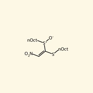 CCCCCCCCSC(=C[N+](=O)[O-])[S+]([O-])CCCCCCCC